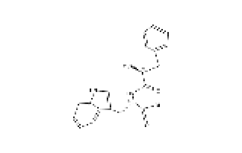 N[C@@H](Cc1ccccc1)C(=O)N[C@@H](Cc1c[nH]c2ccccc12)C(=O)O